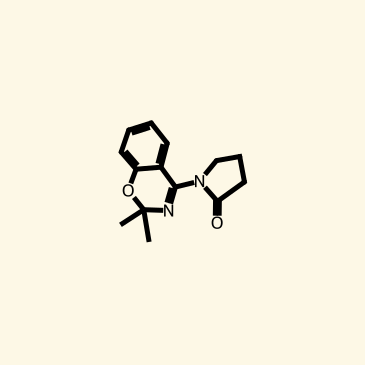 CC1(C)N=C(N2CCCC2=O)c2ccccc2O1